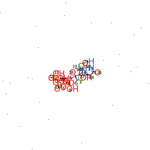 CC(F)[C@]1(COP(=O)(O)OP(=O)(O)OP(=O)(O)O)OC[C@](Cl)(n2ccc(=O)[nH]c2=O)[C@@H]1O